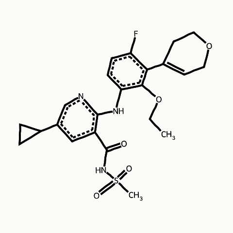 CCOc1c(Nc2ncc(C3CC3)cc2C(=O)NS(C)(=O)=O)ccc(F)c1C1=CCOCC1